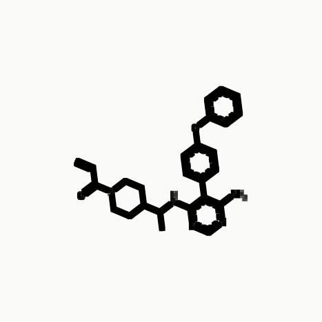 C=CC(=O)N1CCC(C(C)Nc2ncnc(N)c2-c2ccc(Oc3ccccc3)cc2)CC1